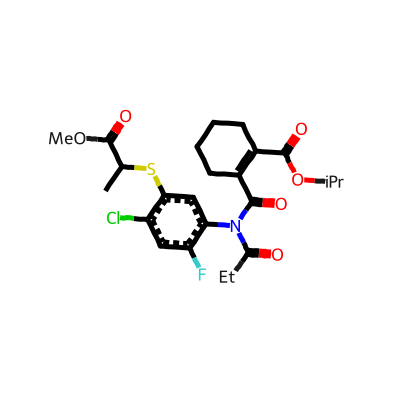 CCC(=O)N(C(=O)C1=C(C(=O)OC(C)C)CCCC1)c1cc(SC(C)C(=O)OC)c(Cl)cc1F